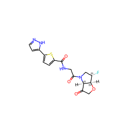 O=C(NCC(=O)N1C[C@H](F)[C@H]2OCC(=O)[C@H]21)c1ccc(-c2ccn[nH]2)s1